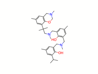 Cc1cc(CN(C)Cc2cc(C)cc(C(C)C)c2O)c(O)c(CN(C)CC(C)(C)c2cc(C)cc3c2OCN(C)C3)c1